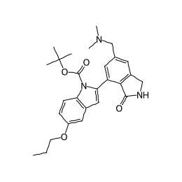 CCCOc1ccc2c(c1)cc(-c1cc(CN(C)C)cc3c1C(=O)NC3)n2C(=O)OC(C)(C)C